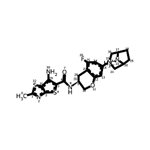 Cc1nc2sc(C(=O)N[C@@H]3COc4cc(N5CC6CCC(C5)N6C)cc(F)c4C3)c(N)c2s1